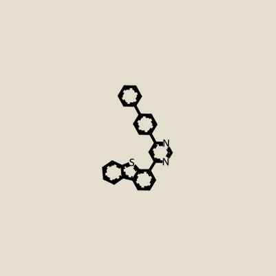 c1ccc(-c2ccc(-c3cc(-c4cccc5c4sc4ccccc45)ncn3)cc2)cc1